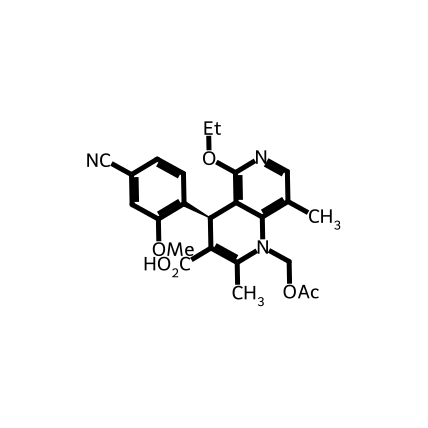 CCOc1ncc(C)c2c1[C@H](c1ccc(C#N)cc1OC)C(C(=O)O)=C(C)N2COC(C)=O